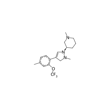 Cc1ccc(C2=CN([C@@H]3CCCN(C)C3)N(C)C2)c(OC(F)(F)F)c1